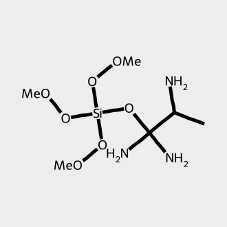 COO[Si](OOC)(OOC)OC(N)(N)C(C)N